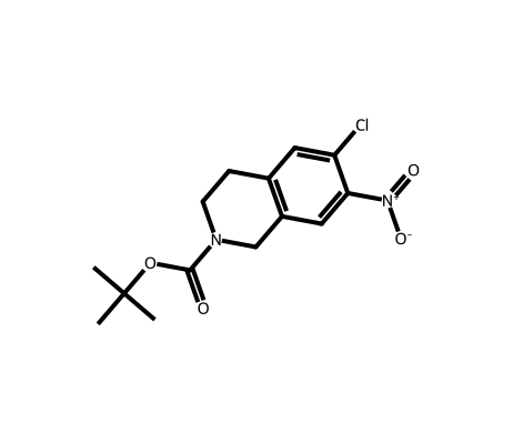 CC(C)(C)OC(=O)N1CCc2cc(Cl)c([N+](=O)[O-])cc2C1